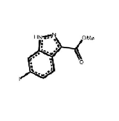 COC(=O)c1n[nH]c2cc(I)ccc12